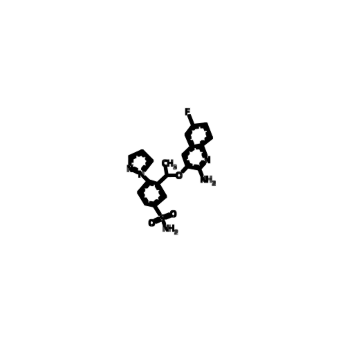 CC(Oc1cc2cc(F)ccc2nc1N)c1cc(S(N)(=O)=O)ccc1-n1cccn1